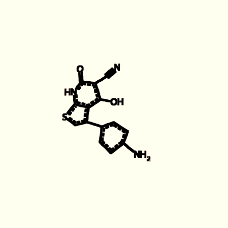 N#Cc1c(O)c2c(-c3ccc(N)cc3)csc2[nH]c1=O